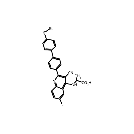 CCSc1ccc(-c2ccc(-c3nc4ccc(F)cc4c(NC(C)C(=O)O)c3C#N)cc2)cc1